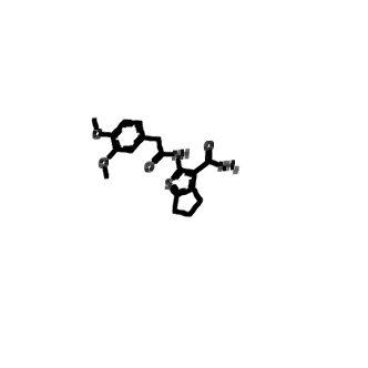 COc1ccc(CC(=O)Nc2sc3c(c2C(N)=O)CCC3)cc1OC